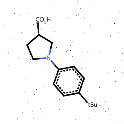 CC(C)(C)c1ccc(N2CC[C@@H](C(=O)O)C2)cc1